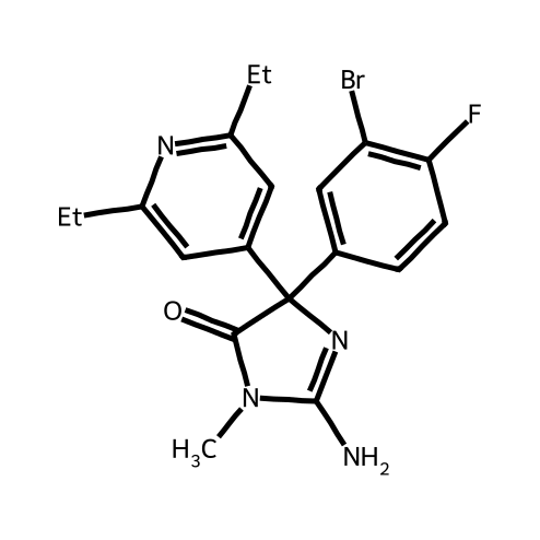 CCc1cc(C2(c3ccc(F)c(Br)c3)N=C(N)N(C)C2=O)cc(CC)n1